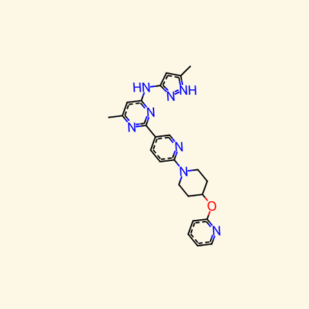 Cc1cc(Nc2cc(C)[nH]n2)nc(-c2ccc(N3CCC(Oc4ccccn4)CC3)nc2)n1